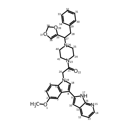 COc1ccc2c(c1)c(-c1cc3cccnc3[nH]1)cn2CC(=O)N1CCN(C(Cc2ccccc2)C2=COCO2)CC1